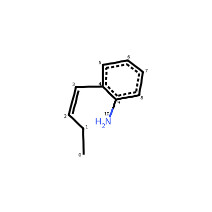 CC/C=C\c1ccccc1N